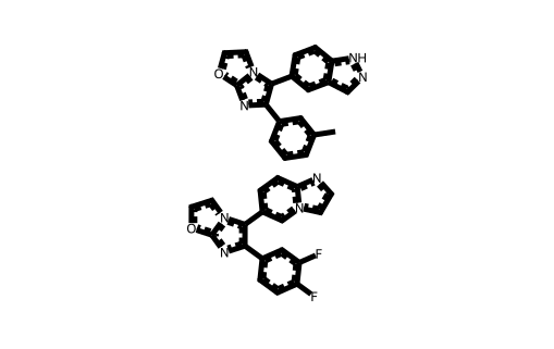 Cc1cccc(-c2nc3occn3c2-c2ccc3[nH]ncc3c2)c1.Fc1ccc(-c2nc3occn3c2-c2ccc3nccn3c2)cc1F